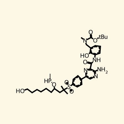 CN(Cc1cccc(NC(=O)c2nc(-c3ccc(S(=O)(=O)C(C)(C)CC(CCCCCCO)OPI)cc3)cnc2N)c1O)C(=O)OC(C)(C)C